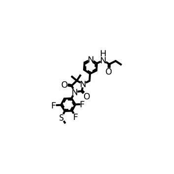 CCC(=O)Nc1cc(CN2C(=O)N(c3cc(F)c(SC)c(F)c3F)C(=O)C2(C)C)ccn1